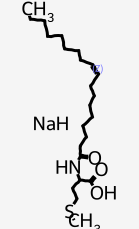 CCCCCCCC/C=C\CCCCCCCC(=O)NC(CCSC)C(=O)O.[NaH]